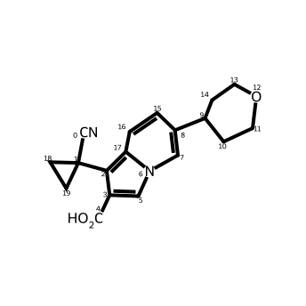 N#CC1(c2c(C(=O)O)cn3cc(C4CCOCC4)ccc23)CC1